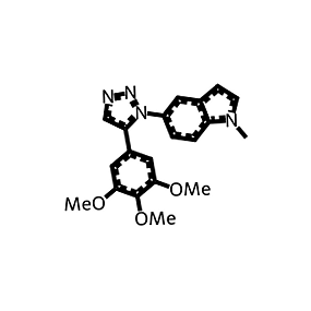 COc1cc(-c2cnnn2-c2ccc3c(ccn3C)c2)cc(OC)c1OC